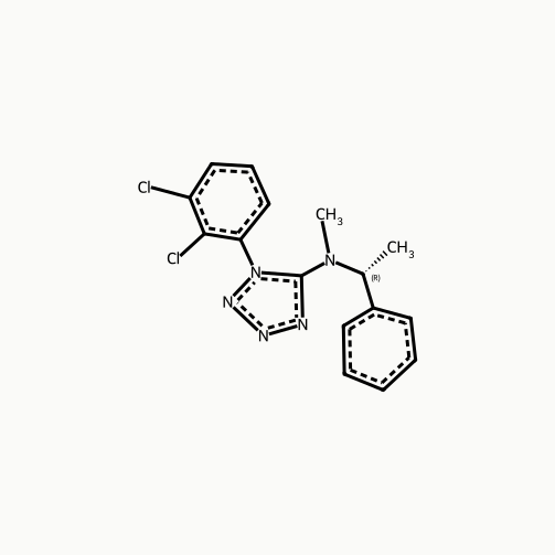 C[C@H](c1ccccc1)N(C)c1nnnn1-c1cccc(Cl)c1Cl